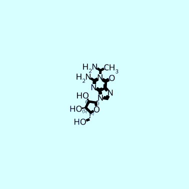 CC(N)n1c(N)nc2c(ncn2[C@@H]2O[C@H](CO)[C@@H](O)[C@H]2O)c1=O